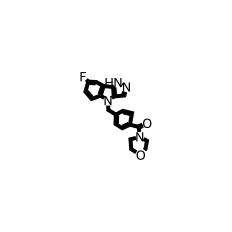 O=C(c1ccc(Cn2c3ccc(F)cc3c3[nH]ncc32)cc1)N1CCOCC1